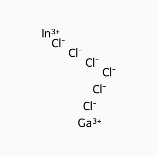 [Cl-].[Cl-].[Cl-].[Cl-].[Cl-].[Cl-].[Ga+3].[In+3]